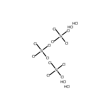 Cl.Cl.Cl.Cl.Cl[Si](Cl)(Cl)Cl.Cl[Si](Cl)(Cl)Cl.Cl[Si](Cl)(Cl)Cl